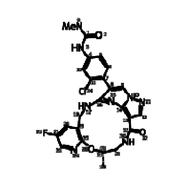 CNC(=O)Nc1ccc(-c2cn3ncc4c3nc2NCc2cc(F)cnc2O[C@@H](C)CNC4=O)c(Cl)c1